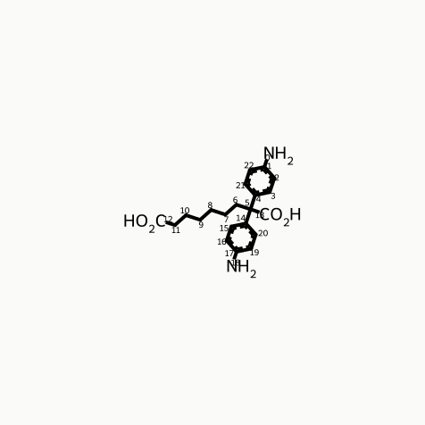 Nc1ccc(C(CCCCCCC(=O)O)(C(=O)O)c2ccc(N)cc2)cc1